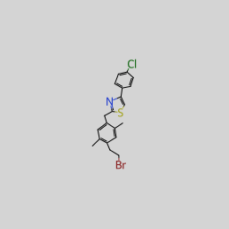 Cc1cc(Cc2nc(-c3ccc(Cl)cc3)cs2)c(C)cc1CCBr